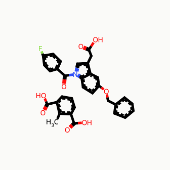 Cc1c(C(=O)O)cccc1C(=O)O.O=C(O)Cc1cn(C(=O)c2ccc(F)cc2)c2ccc(OCc3ccccc3)cc12